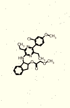 CCc1nc(-c2ccc(OC)cc2Cl)c(CC)nc1NC1c2ccccc2CC1OC(=O)COC